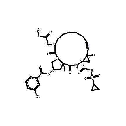 CC(C)(C)OC(=O)N[C@H]1CCCCC/C=C\[C@@H]2C[C@@]2(C(=O)NS(=O)(=O)C2CC2)NC(=O)[C@@H]2C[C@@H](OC(=O)c3cccc(C#N)c3)CN2C1=O